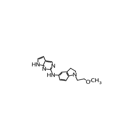 COCCN1CCc2cc(Nc3ncc4cc[nH]c4n3)ccc21